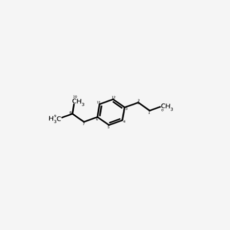 CC[CH]c1ccc(CC(C)C)cc1